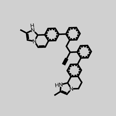 C#CC(Cc1ccccc1-c1ccc2c(c1)C=CN1C=C(C)NC21)c1ccccc1-c1ccc2c(c1)CCN1C=C(C)NC21